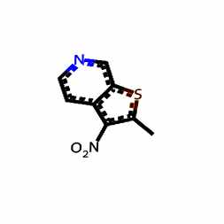 Cc1sc2cnccc2c1[N+](=O)[O-]